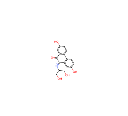 O=C1/C(=N/C(CO)CO)c2cc(O)ccc2-c2ccc(O)cc21